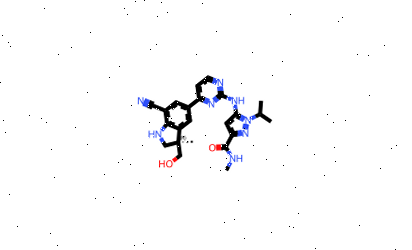 CNC(=O)c1cc(Nc2nccc(-c3cc(C#N)c4c(c3)[C@@](C)(CO)CN4)n2)n(C(C)C)n1